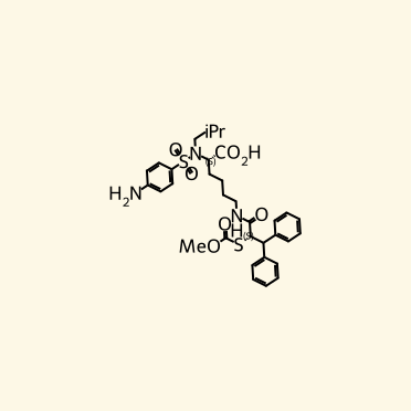 COC(=O)S[C@H](C(=O)NCCCC[C@@H](C(=O)O)N(CC(C)C)S(=O)(=O)c1ccc(N)cc1)C(c1ccccc1)c1ccccc1